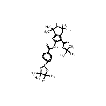 CC1(C)Cc2c(sc(NC(=O)c3ccc(B4OC(C)(C)C(C)(C)O4)cc3)c2C(=O)OC(C)(C)C)C(C)(C)N1